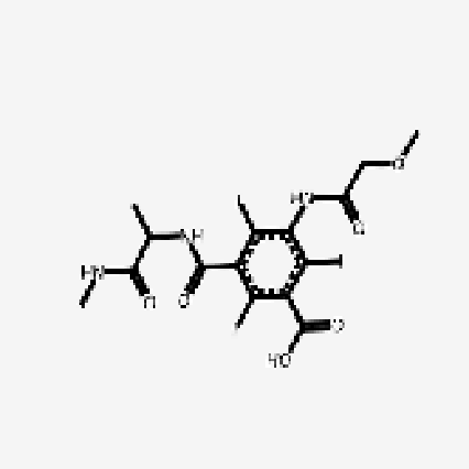 CNC(=O)C(C)NC(=O)c1c(I)c(NC(=O)COC)c(I)c(C(=O)O)c1I